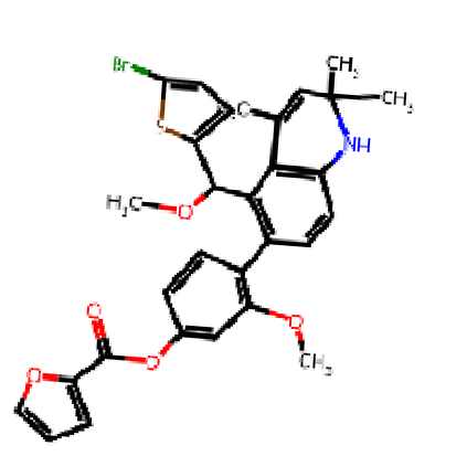 COc1cc(OC(=O)c2ccco2)ccc1-c1ccc2c(c1C(OC)c1ccc(Br)s1)C(C)=CC(C)(C)N2